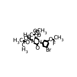 CC(F)Oc1cc(Br)cc(N2C[C@@H](C(C)S(C)(=O)=O)N(C(=O)OC(C)(C)C)CC2=O)c1